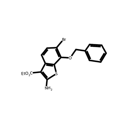 CCOC(=O)c1c(N)sc2c(OCc3ccccc3)c(Br)ccc12